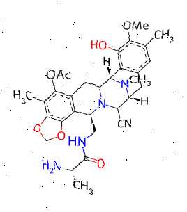 COc1c(C)cc2c(c1O)[C@H]1C3Cc4c(OC(C)=O)c(C)c5c(c4[C@H](CNC(=O)[C@H](C)N)N3C(C#N)[C@@H](C2)N1C)OCO5